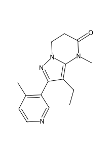 CCc1c(-c2cnccc2C)nn2c1N(C)C(=O)CC2